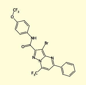 O=C(Nc1ccc(OC(F)(F)F)cc1)c1nn2c(C(F)(F)F)cc(-c3ccccc3)nc2c1Br